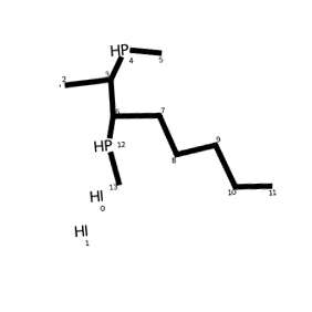 I.I.[CH2]C(PC)C(CCCCC)PC